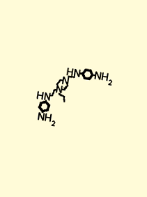 CCC[N+]1(CCNc2ccc(N)cc2)CCN(CCNc2ccc(N)cc2)CC1